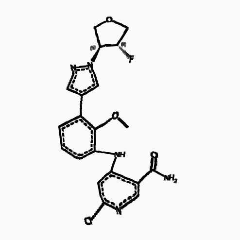 COc1c(Nc2cc(Cl)ncc2C(N)=O)cccc1-c1cnn([C@H]2COC[C@@H]2F)c1